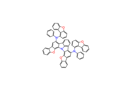 c1ccc(N(c2cccc3oc4ccccc4c23)c2cc3c4ccccc4oc3c3c2c2cccc4c5c(N(c6ccccc6)c6cccc7oc8ccccc8c67)cc6c7ccccc7oc6c5n3c24)cc1